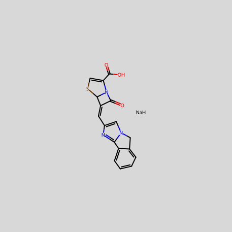 O=C(O)C1=CSC2C(=Cc3cn4c(n3)-c3ccccc3C4)C(=O)N12.[NaH]